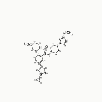 CCn1cc([C@H]2CC[C@H](CN(c3cccc(-c4cnn(C5CC5)c4)c3)C(=O)[C@H]3CC[C@H](O)CC3)CC2)cn1